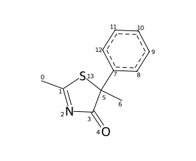 CC1=NC(=O)C(C)(c2ccccc2)S1